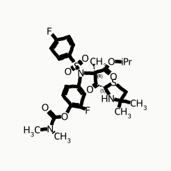 CC(C)OC(=O)[C@@](C)(C(=O)[C@H]1NC(C)(C)CS1)N(c1ccc(OC(=O)N(C)C)c(F)c1)S(=O)(=O)c1ccc(F)cc1